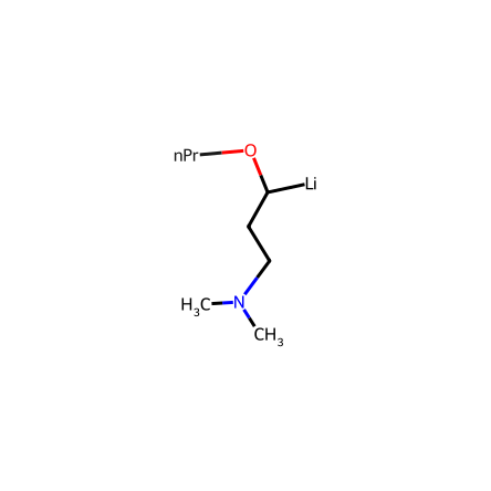 [Li][CH](CCN(C)C)OCCC